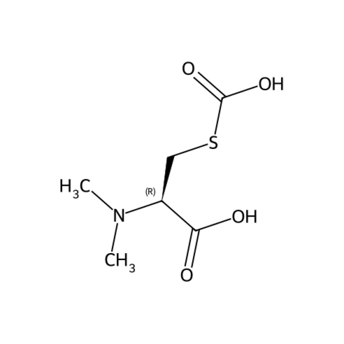 CN(C)[C@@H](CSC(=O)O)C(=O)O